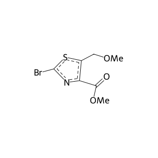 COCc1sc(Br)nc1C(=O)OC